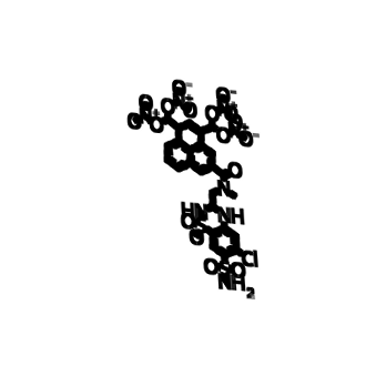 CN(CC1Nc2cc(Cl)c(S(N)(=O)=O)cc2S(=O)(=O)N1)C(=O)c1cc2c3c(cccc3c1)C(C(O[N+](=O)[O-])O[N+](=O)[O-])C=C2C(O[N+](=O)[O-])O[N+](=O)[O-]